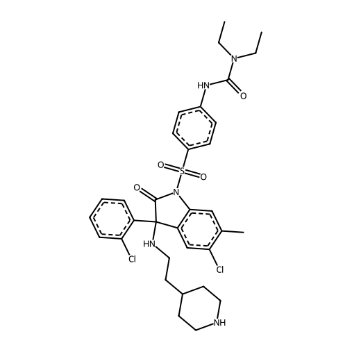 CCN(CC)C(=O)Nc1ccc(S(=O)(=O)N2C(=O)C(NCCC3CCNCC3)(c3ccccc3Cl)c3cc(Cl)c(C)cc32)cc1